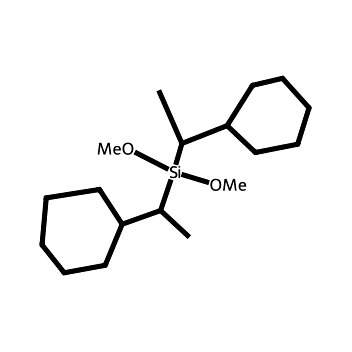 CO[Si](OC)(C(C)C1CCCCC1)C(C)C1CCCCC1